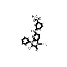 CC1C(=O)N(C)c2ccc(Nc3cccc(S(C)(=O)=O)c3)nc2N1c1ccccc1